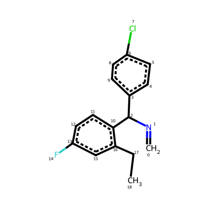 C=NC(c1ccc(Cl)cc1)c1ccc(F)cc1CC